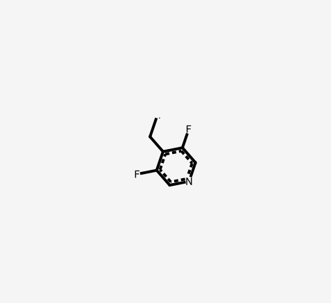 [CH2]Cc1c(F)cncc1F